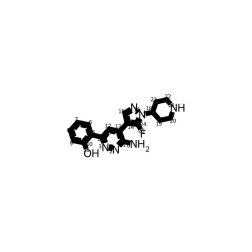 Nc1nnc(-c2ccccc2O)cc1-c1cnn(C2CCNCC2)c1F